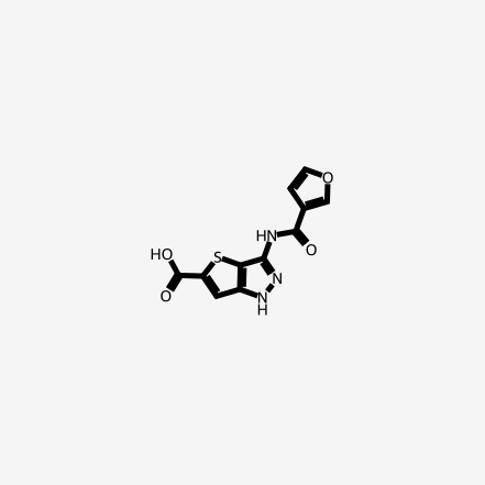 O=C(Nc1n[nH]c2cc(C(=O)O)sc12)c1ccoc1